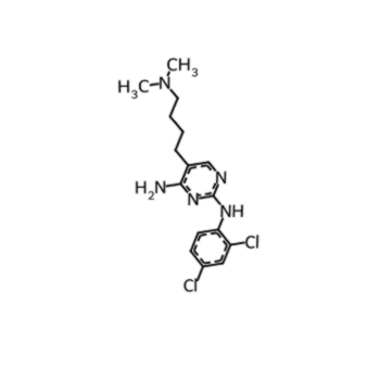 CN(C)CCCCc1cnc(Nc2ccc(Cl)cc2Cl)nc1N